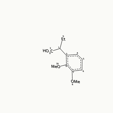 CCC(C(=O)O)c1cccc(OC)c1OC